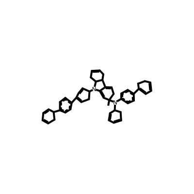 CC1(N(c2ccc(C3=CC=CCC3)cc2)C2C=CC=CC2)C=C2C(=CC1)C1CC=CCC1N2C1C=CC(c2ccc(C3C=CC=CC3)cc2)=CC1